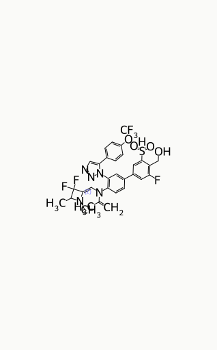 C=C(C)N(/C=C1\N(C)C(C)C1(F)F)c1ccc(-c2cc(F)c(CO)c([SH](=O)=O)c2)cc1-n1nncc1-c1ccc(OC(F)(F)F)cc1